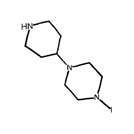 IN1CCN(C2CCNCC2)CC1